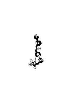 O=C1NC(=O)C(=Cc2ccnc(N3CCC(CNCc4cccc(-c5ccsc5)n4)CC3)n2)N1